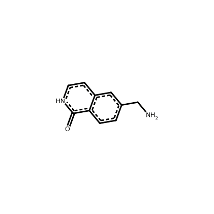 NCc1ccc2c(=O)[nH]ccc2c1